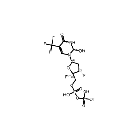 O=C1NC(O)N([C@H]2C[C@H](F)[C@@](F)(COP(=O)(O)OP(=O)(O)O)O2)C=C1C(F)(F)F